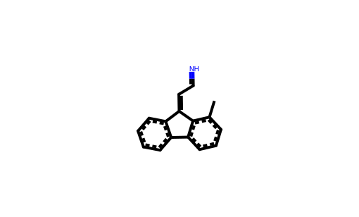 Cc1cccc2c1/C(=C\C=N)c1ccccc1-2